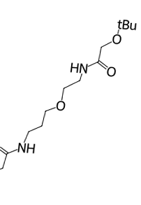 CC(C)(C)OCC(=O)NCCCOCCNC(=O)COC(C)(C)C